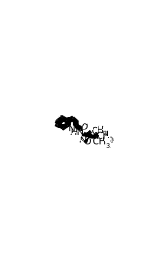 CC(C)(C)c1cc(NC(=O)c2ccc3ccccc3n2)no1